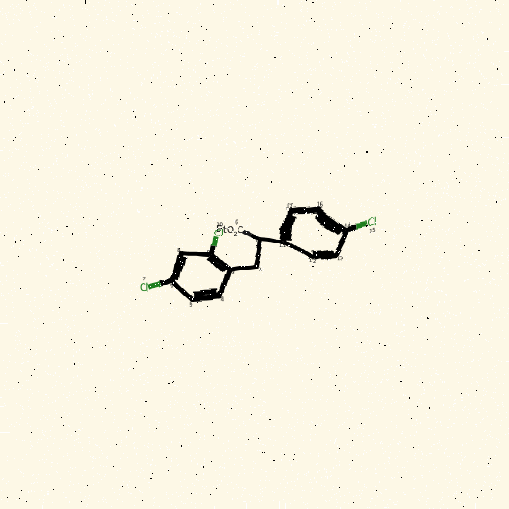 CCOC(=O)C(Cc1ccc(Cl)cc1Cl)c1ccc(Cl)cc1